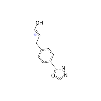 O/C=C/Cc1ccc(-c2nnco2)cc1